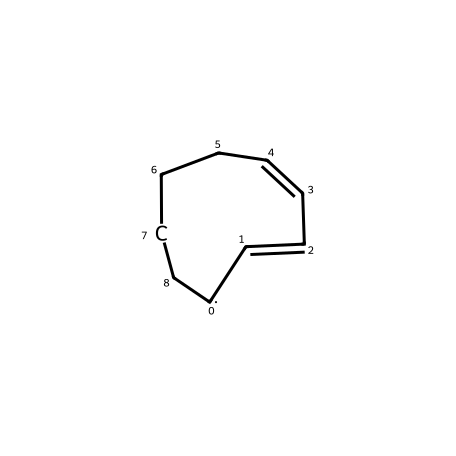 [CH]1/C=C/C=C\CCCC1